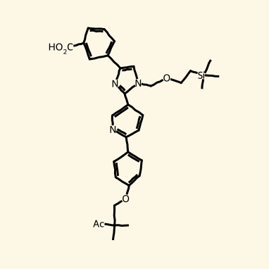 CC(=O)C(C)(C)COc1ccc(-c2ccc(-c3nc(-c4cccc(C(=O)O)c4)cn3COCC[Si](C)(C)C)cn2)cc1